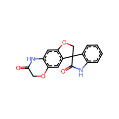 O=C1COc2cc3c(cc2N1)OCC31C(=O)Nc2ccccc21